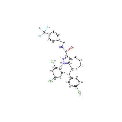 O=C(NCc1ccc(C(F)(F)F)cc1)c1nn(-c2ccc(Cl)cc2Cl)c2c1CCCCC2Cc1ccc(Cl)cc1